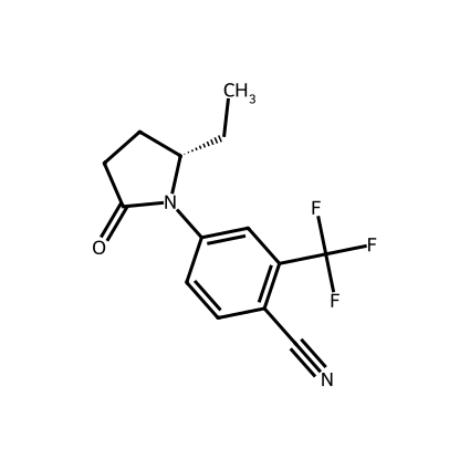 CC[C@H]1CCC(=O)N1c1ccc(C#N)c(C(F)(F)F)c1